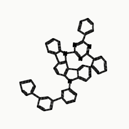 c1ccc(-c2cccc(-c3cccc(-n4c5ccccc5c5c4ccc4c6ccccc6n(-c6nc(-c7ccccc7)nc(-c7ccccc7)n6)c45)c3)c2)cc1